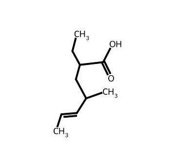 CC=CC(C)CC(CC)C(=O)O